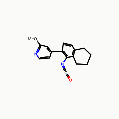 COc1cc(-c2ccc3c(c2N=C=O)CCCC3)ccn1